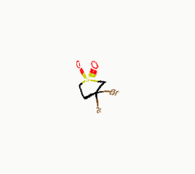 O=S1(=O)CCC(Br)(Br)C1